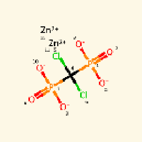 O=P([O-])([O-])C(Cl)(Cl)P(=O)([O-])[O-].[Zn+2].[Zn+2]